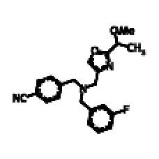 COC(C)c1nc(CN(Cc2ccc(C#N)cc2)Cc2cccc(F)c2)co1